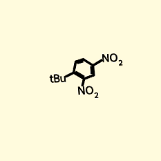 CC(C)(C)c1ccc([N+](=O)[O-])cc1[N+](=O)[O-]